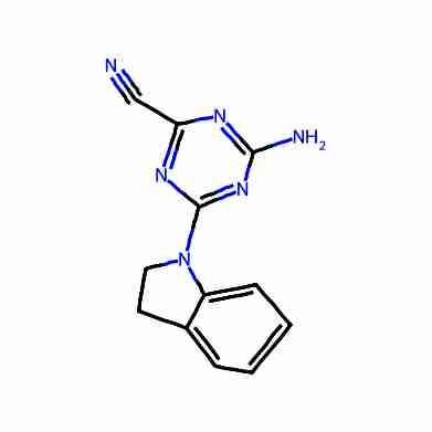 N#Cc1nc(N)nc(N2CCc3ccccc32)n1